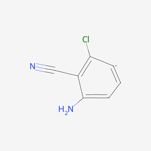 N#Cc1c(Cl)[c]ccc1N